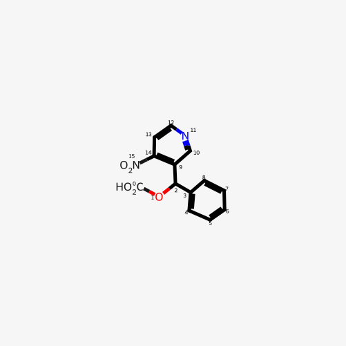 O=C(O)OC(c1ccccc1)c1cnccc1[N+](=O)[O-]